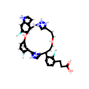 O=C(O)CCc1cccc(C2CCOCCc3cn(nn3)Cc3c(c(F)cc4[nH]ccc34)Oc3ccc(F)c(c3)-c3ncc2[nH]3)c1F